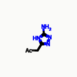 CC(=O)Cc1nnc(N)[nH]1